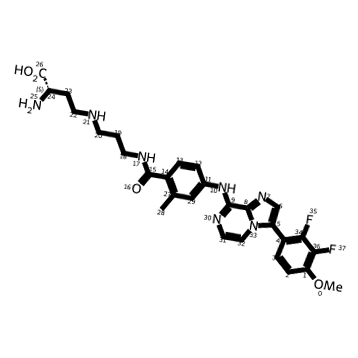 COc1ccc(-c2cnc3c(Nc4ccc(C(=O)NCCCNCC[C@H](N)C(=O)O)c(C)c4)nccn23)c(F)c1F